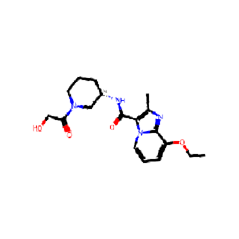 CCOc1cccn2c(C(=O)N[C@H]3CCCN(C(=O)CO)C3)c(C)nc12